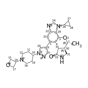 C[C@@H](Oc1cc(-c2cnn(C3CCN(C4COC4)CC3)c2)cc2ncn(C3CC3)c12)[C@H]1CNC(=O)C1